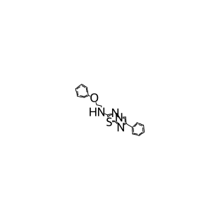 c1ccc(OCCNc2nn3cc(-c4ccccc4)nc3s2)cc1